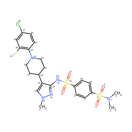 CN(C)S(=O)(=O)c1ccc(S(=O)(=O)Nc2nn(C)cc2C2CCN(c3ccc(Cl)cc3F)CC2)cc1